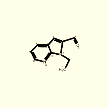 CCn1c(C=O)cc2cccnc21